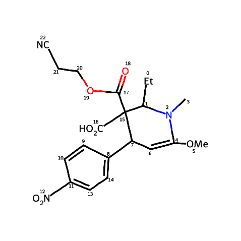 CCC1N(C)C(OC)=CC(c2ccc([N+](=O)[O-])cc2)C1(C(=O)O)C(=O)OCCC#N